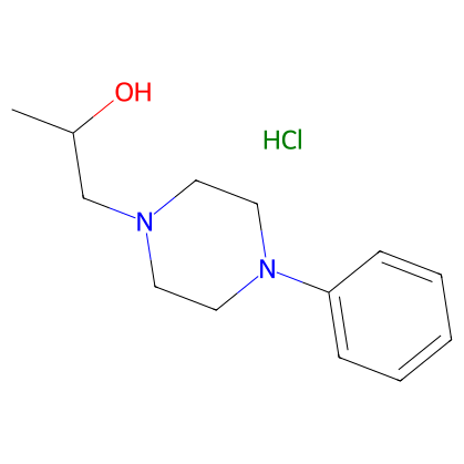 CC(O)CN1CCN(c2ccccc2)CC1.Cl